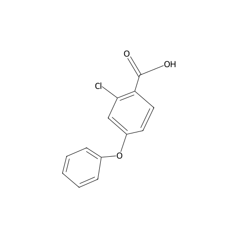 O=C(O)c1ccc(Oc2ccccc2)cc1Cl